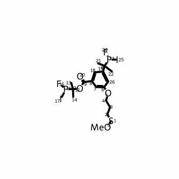 COSCCCOc1cc(C(=O)OC(C)(C)P(F)I)cc(C(C)(C)P(F)I)c1